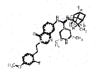 COc1ccc(CCn2cnc3cc(N/C(=N/[C@@H]4C[C@H]5C[C@@H]([C@@H]4C)C5(C)C)N4C[C@@H](C)N[C@@H](C)C4)ccc3c2=O)c(F)c1